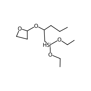 CCCC(C[SiH](OCC)OCC)OC1CCO1